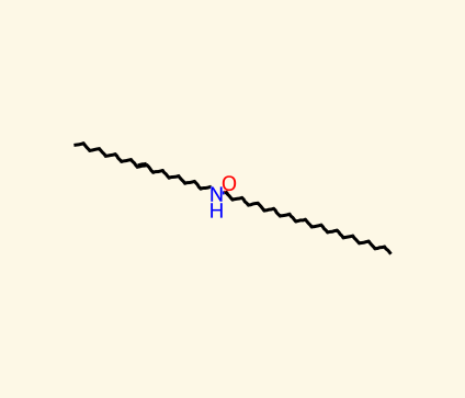 CCCCCCCCC=CCCCCCCCCNC(=O)CCCCCCCCCCCCCCCCCCCCC